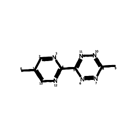 Cc1cnc(-c2nnc(C)nn2)nc1